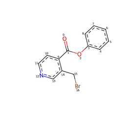 O=C(Oc1ccccc1)c1ccncc1CBr